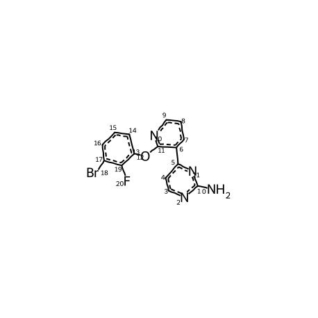 Nc1nccc(-c2cccnc2Oc2cccc(Br)c2F)n1